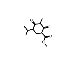 COC(=O)C1CC(C(C)C)C(=O)C(C)C1=O